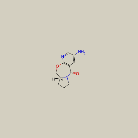 Nc1cnc2c(c1)C(=O)N1CCC[C@@H]1CO2